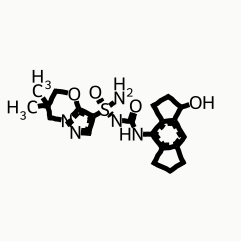 CC1(C)COc2c(S(N)(=O)=NC(=O)Nc3c4c(cc5c3CCC5O)CCC4)cnn2C1